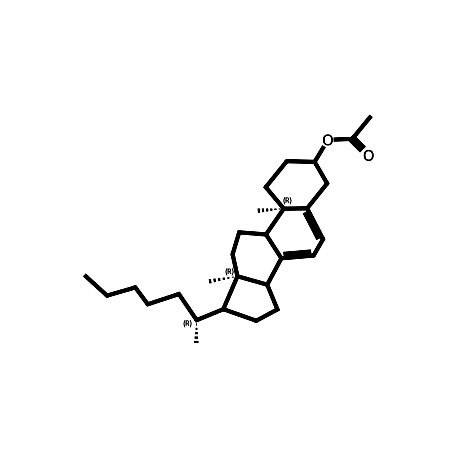 CCCCC[C@@H](C)C1CCC2C3=CC=C4CC(OC(C)=O)CC[C@]4(C)C3CC[C@@]21C